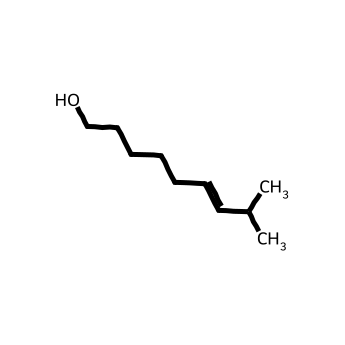 CC(C)/C=C/CCCCCO